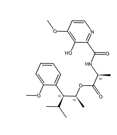 COc1ccccc1[C@H](C(C)C)[C@H](C)OC(=O)[C@H](C)NC(=O)c1nccc(OC)c1O